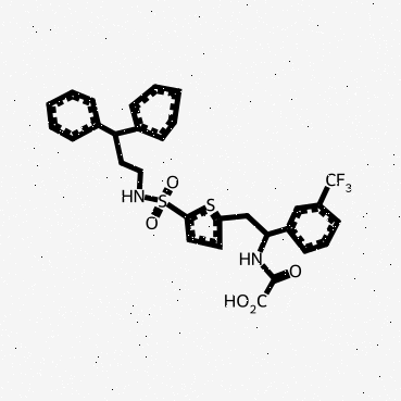 O=C(O)C(=O)NC(Cc1ccc(S(=O)(=O)NCCC(c2ccccc2)c2ccccc2)s1)c1cccc(C(F)(F)F)c1